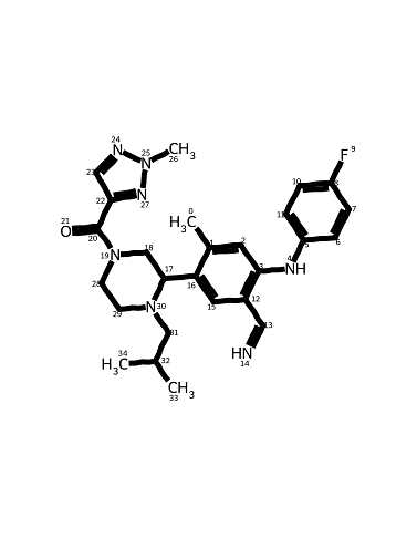 Cc1cc(Nc2ccc(F)cc2)c(C=N)cc1C1CN(C(=O)c2cnn(C)n2)CCN1CC(C)C